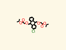 CC(C)OC(=O)COC=c1c2ccccc2c(=COCC(=O)OC(C)C)c2cc(Cl)ccc12